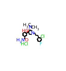 CN(C)C[C@@H]1CN(CCCc2ccc(F)cc2Cl)CC[C@]1(O)c1cccc(C(N)=O)c1.Cl